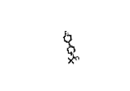 CN1CCC(C2CCN(C(=O)C(C)(C)C)CC2)CC1